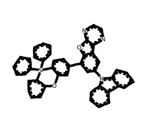 c1ccc([Si]2(c3ccccc3)c3ccccc3Oc3cc(-c4cc(-n5c6ccccc6c6ccccc65)cc5c4oc4nccnc45)ccc32)cc1